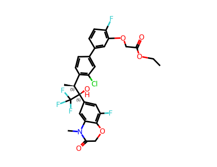 CCOC(=O)COc1cc(-c2ccc([C@H](C)[C@](O)(c3cc(F)c4c(c3)N(C)C(=O)CO4)C(F)(F)F)c(Cl)c2)ccc1F